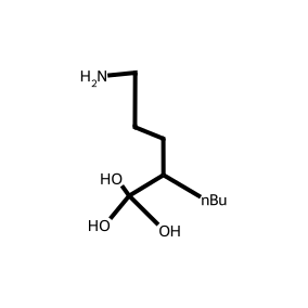 CCCCC(CCCN)C(O)(O)O